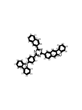 c1ccc2cc(-c3nc(-c4ccc(-n5c6ccccc6c6ccccc65)cc4)nc(-c4ccc5cc6oc7ccccc7c6cc5c4)n3)ccc2c1